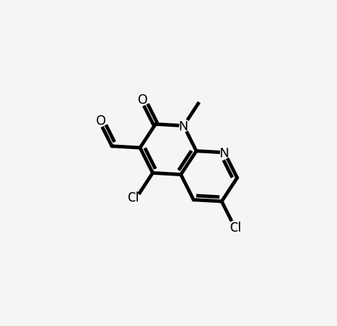 Cn1c(=O)c(C=O)c(Cl)c2cc(Cl)cnc21